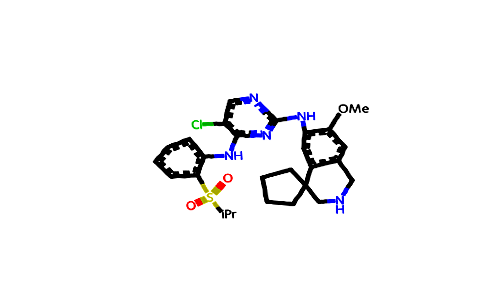 COc1cc2c(cc1Nc1ncc(Cl)c(Nc3ccccc3S(=O)(=O)C(C)C)n1)C1(CCCC1)CNC2